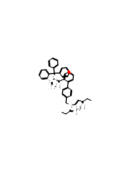 CCc1cc2n(Cc3ccc(-c4ccccc4-c4nnnn4C(c4ccccc4)(c4ccccc4)c4ccccc4)cc3)c(CC)nn2n1